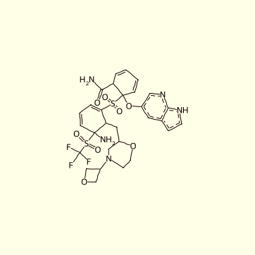 NC(=O)C1C=CC=CC1(Oc1cnc2[nH]ccc2c1)S(=O)(=O)C1=CC=CC(N)(S(=O)(=O)C(F)(F)F)C1CC1CN(C2COC2)CCO1